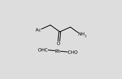 CC(=O)CC(=O)CN.O=[CH][Rh][CH]=O